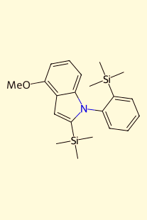 COc1cccc2c1cc([Si](C)(C)C)n2-c1ccccc1[Si](C)(C)C